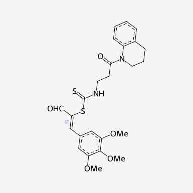 COc1cc(/C=C(/C=O)SC(=S)NCCC(=O)N2CCCc3ccccc32)cc(OC)c1OC